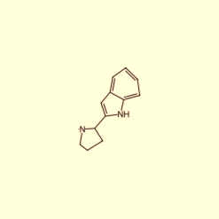 c1ccc2[nH]c(C3CCC[N]3)cc2c1